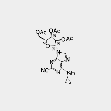 CC(=O)OC[C@@H]1O[C@@H](n2cnc3c(NC4CC4)nc(C#N)nc32)[C@H](OC(C)=O)[C@@H]1OC(C)=O